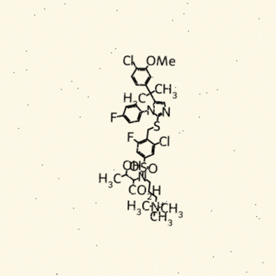 COc1cc(C(C)(C)c2cnc(SCc3c(F)cc(S(=O)(=O)N(CCC[N+](C)(C)C)C(C(=O)O)C(C)O)cc3Cl)n2-c2ccc(F)cc2)ccc1Cl